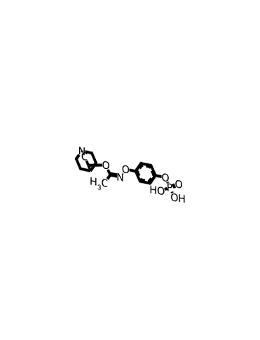 C/C(=N/Oc1ccc(OP(=O)(O)O)cc1)OC1CN2CCC1CC2